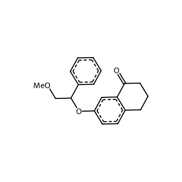 COCC(Oc1ccc2c(c1)C(=O)CCC2)c1ccccc1